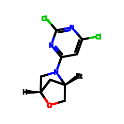 CC[C@]12CO[C@H](CN1c1cc(Cl)nc(Cl)n1)C2